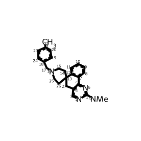 CNc1ncc2c(n1)-c1ccccc1C1(CCN(Cc3ccc(C)cc3)CC1)C2